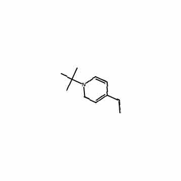 CCC1=CCN(C(C)(C)C)C=C1